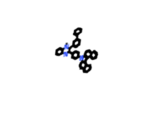 CN1c2ccccc2N=C(c2ccc(-n3c4ccc5ccccc5c4c4c5ccccc5ccc43)cc2)C1c1cccc(-c2ccccc2)c1